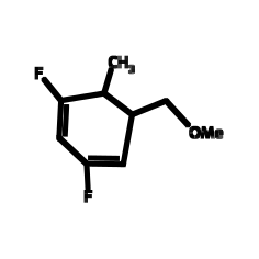 COCC1C=C(F)C=C(F)C1C